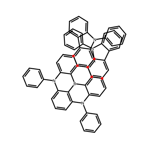 c1ccc(N2c3cccc(-c4ccc5c6ccccc6n(-c6ccccc6)c5c4)c3B3c4c(-c5cccc6c7ccccc7n(-c7ccccc7)c56)cccc4N(c4ccccc4)c4cccc2c43)cc1